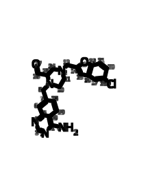 Nc1ncnc2cc(CN3CCN(Cc4cc5cc(Cl)ccc5o4)CC3C=O)ccc12